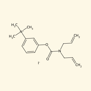 C=CCN(CC=C)C(=O)Oc1cccc([N+](C)(C)C)c1.[I-]